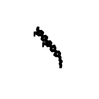 CCCCCCC1CCC(C2CCC(c3ccc(C4=CCC(c5ccc(CC)c(F)c5)CC4)c(F)c3)CC2)CC1